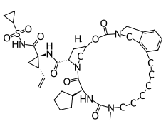 C=C[C@@H]1C[C@]1(NC(=O)[C@@H]1C[C@@H]2CN1C(=O)[C@H](C1CCCC1)NC(=O)N(C)CCCCCCc1cccc3c1CN(C3)C(=O)O2)C(=O)NS(=O)(=O)C1CC1